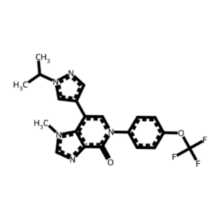 CC(C)n1cc(-c2cn(-c3ccc(OC(F)(F)F)cc3)c(=O)c3ncn(C)c23)cn1